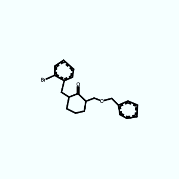 O=C1C(COCc2ccccc2)CCCC1Cc1ccccc1Br